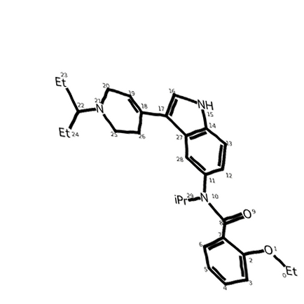 CCOc1ccccc1C(=O)N(c1ccc2[nH]cc(C3=CCN(C(CC)CC)CC3)c2c1)C(C)C